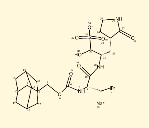 CC(C)C[C@H](NC(=O)OCC12CC3CC(CC(C3)C1)C2)C(=O)N[C@@H](C[C@@H]1CCNC1=O)C(O)S(=O)(=O)[O-].[Na+]